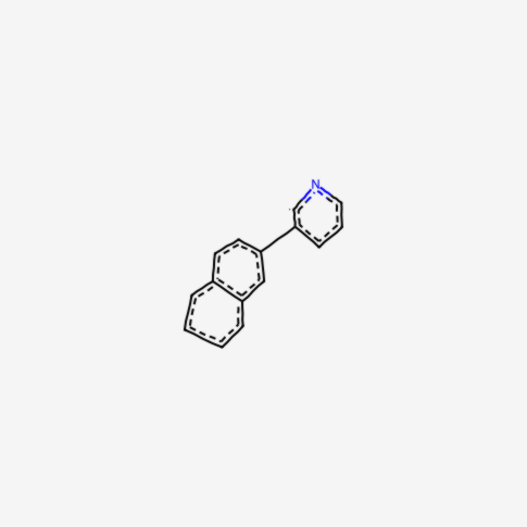 [c]1ncccc1-c1ccc2ccccc2c1